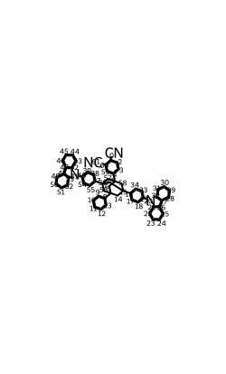 N#Cc1ccc(C23CC4(c5ccccc5)CC(c5ccc(-n6c7ccccc7c7ccccc76)cc5)(CC(c5ccc(-n6c7ccccc7c7ccccc76)cc5)(C4)C2)C3)cc1C#N